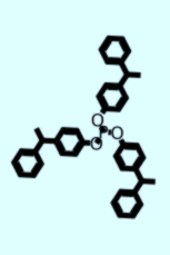 CC(c1ccccc1)c1ccc(OP(Oc2ccc(C(C)c3ccccc3)cc2)Oc2ccc(C(C)c3ccccc3)cc2)cc1